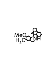 COc1cc2c(cc1C)CCNC2C1(c2ccccc2Cl)CC1